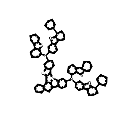 c1ccc(-c2cccc3c2oc2cc(N(c4ccc5c(c4)oc4c6c7ccccc7cc7c8ccc(N(c9ccc%10c(c9)oc9c(-c%11ccccc%11)cccc9%10)c9cccc%10c9sc9ccccc9%10)cc8n(c54)c76)c4cccc5c4sc4ccccc45)ccc23)cc1